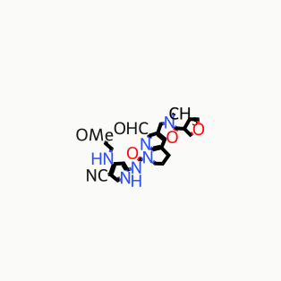 COCCNc1cc(NC(=O)N2CCCc3cc(CN(C)C(=O)C4CCOC4)c(C=O)nc32)ncc1C#N